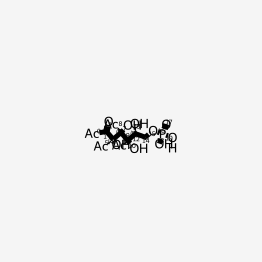 CC(=O)C(=O)[C@@](O)(C(C)=O)[C@](O)(C(C)=O)[C@@](O)(C(C)=O)[C@H](O)COP(=O)(O)O